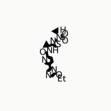 CCOc1cncc(-c2ccc(C(=O)NC3(c4csc(N(C5CC5)[SH](=O)=O)n4)CC3)nc2)n1